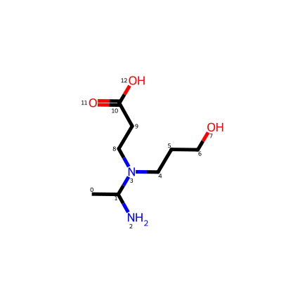 CC(N)N(CCCO)CCC(=O)O